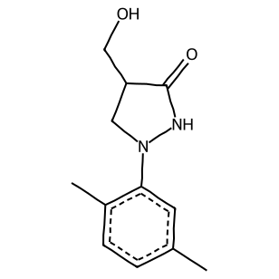 Cc1ccc(C)c(N2CC(CO)C(=O)N2)c1